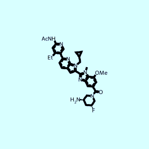 CCc1cc(NC(C)=O)ncc1-c1ccc2cc(-c3nc4cc(C(=O)N5C[C@H](N)C[C@@H](F)C5)cc(OC)c4n3C)n(CC3CC3)c2n1